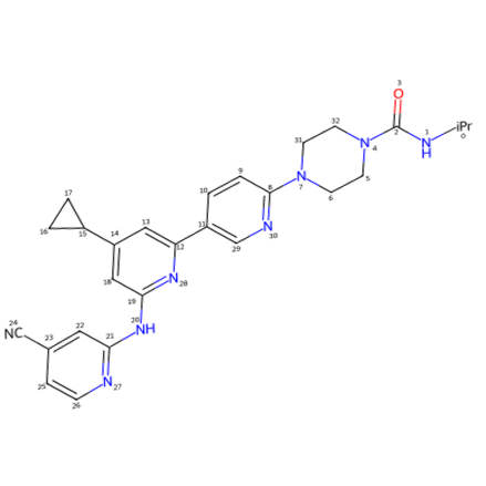 CC(C)NC(=O)N1CCN(c2ccc(-c3cc(C4CC4)cc(Nc4cc(C#N)ccn4)n3)cn2)CC1